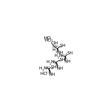 Cl.Cl.Cl.Cl.N=C(N)S.N=C(N)S.N=C(N)S.N=C(N)S